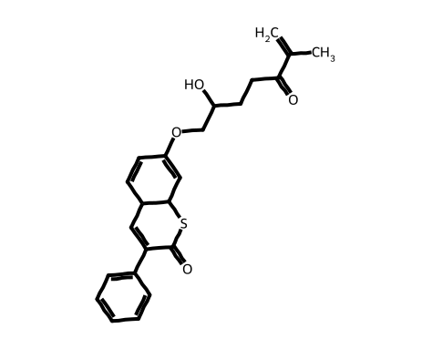 C=C(C)C(=O)CCC(O)COC1=CC2SC(=O)C(c3ccccc3)=CC2C=C1